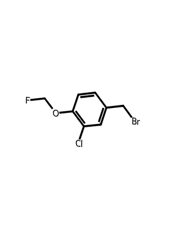 FCOc1ccc(CBr)cc1Cl